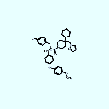 COc1ccc(N[C@H]2CC[C@H](N[C@H](Cc3ccc(Cl)cc3)C(=O)N3CCC(Cn4cncn4)(C4CCCCC4)CC3)CC2)cc1